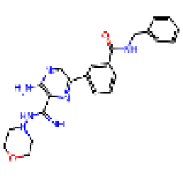 N=C(NN1CCOCC1)c1nc(-c2cccc(C(=O)NCc3ccccc3)c2)cnc1N